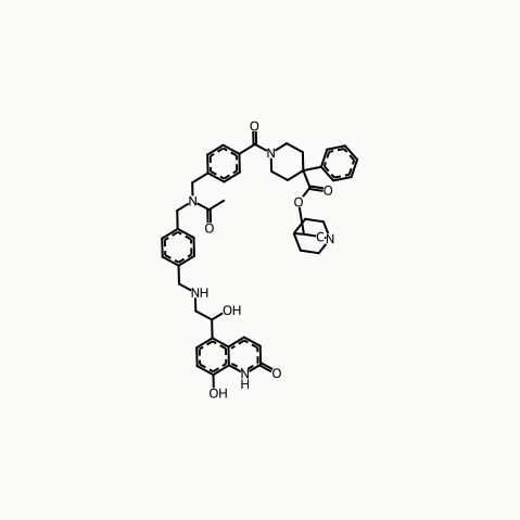 CC(=O)N(Cc1ccc(CNCC(O)c2ccc(O)c3[nH]c(=O)ccc23)cc1)Cc1ccc(C(=O)N2CCC(C(=O)OC3CN4CCC3CC4)(c3ccccc3)CC2)cc1